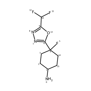 NC1CCC(F)(c2nnc(C(F)F)o2)CC1